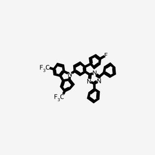 Fc1ccc(-c2ccc(-n3c4ccc(C(F)(F)F)cc4c4cc(C(F)(F)F)ccc43)cc2-c2nc(-c3ccccc3)nc(-c3ccccc3)n2)cc1